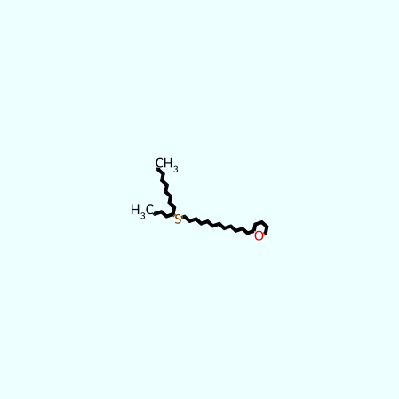 CCCCCCCCCC(CCCC)SCCCCCCCCCCCCC1CCCCO1